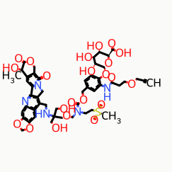 C#CCOCCC(=O)Nc1cc(COC(=O)N(CCS(C)(=O)=O)COCC(CO)(CO)NCc2c3c(nc4cc5c(cc24)OCO5)-c2cc4c(c(=O)n2C3)COC(=O)[C@@]4(C)O)ccc1O[C@@H]1O[C@H](C(=O)O)[C@@H](O)[C@H](O)[C@H]1O